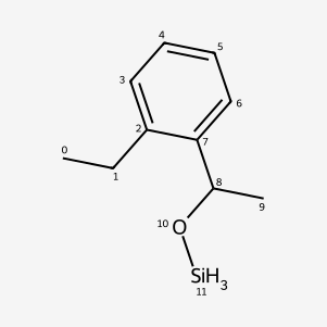 CCc1ccccc1C(C)O[SiH3]